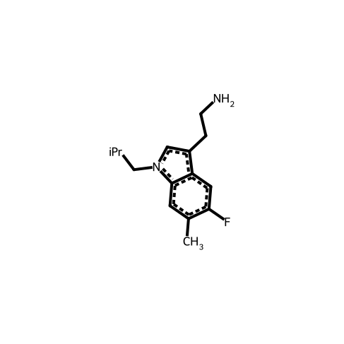 Cc1cc2c(cc1F)c(CCN)cn2CC(C)C